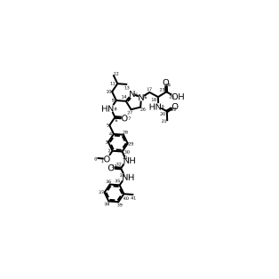 COc1cc(CC(=O)NC(CC(C)C)C2=NN(CC(NC(C)=O)C(=O)O)CC2)ccc1NC(=O)Nc1ccccc1C